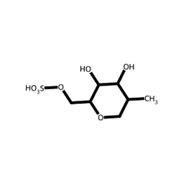 CC1COC(COS(=O)(=O)O)C(O)C1O